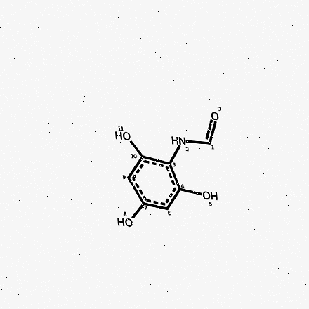 O=CNc1c(O)cc(O)cc1O